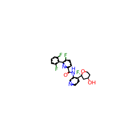 O=C(Nc1cnccc1[C@]1(F)C[C@H](O)CCO1)c1ccc(F)c(-c2c(F)cccc2F)n1